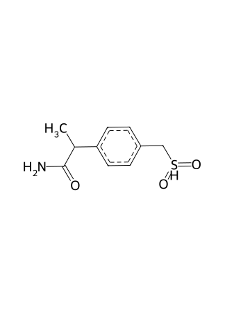 CC(C(N)=O)c1ccc(C[SH](=O)=O)cc1